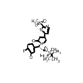 CC(C)(C)[Si](C)(C)OC[C@H](c1ccc(F)c(Cl)c1)n1ccc(-c2ccnc(S(C)(=O)=O)n2)cc1=O